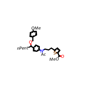 CCCCCC(OCc1ccc(OC)cc1)c1ccc(N(CCCc2ccc(C(=O)OC)s2)C(C)=O)cc1